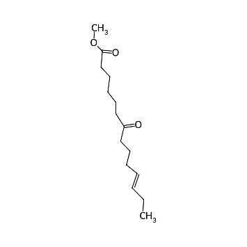 CC/C=C/CCCC(=O)CCCCCC(=O)OC